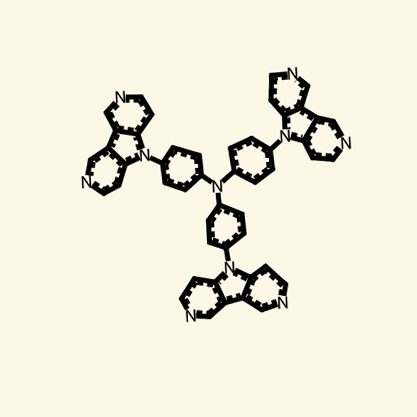 c1cc2c(cn1)c1cnccc1n2-c1ccc(N(c2ccc(-n3c4ccncc4c4cnccc43)cc2)c2ccc(-n3c4ccncc4c4cnccc43)cc2)cc1